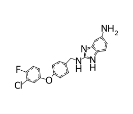 Nc1ccc2[nH]c(NCc3ccc(Oc4ccc(F)c(Cl)c4)cc3)nc2c1